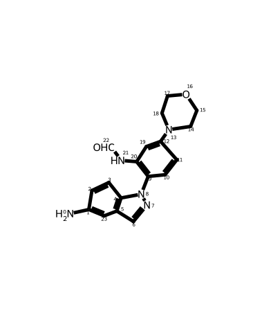 Nc1ccc2c(cnn2-c2ccc(N3CCOCC3)cc2NC=O)c1